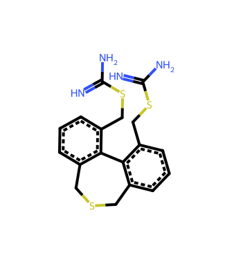 N=C(N)SCc1cccc2c1-c1c(cccc1CSC(=N)N)CSC2